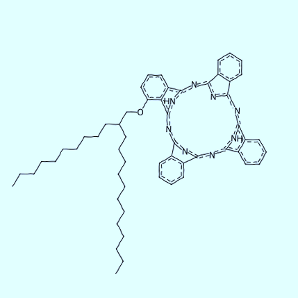 CCCCCCCCCCCCC(CCCCCCCCCC)COc1cccc2c3nc4nc(nc5[nH]c(nc6nc(nc([nH]3)c12)-c1ccccc1-6)c1ccccc51)-c1ccccc1-4